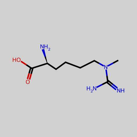 CN(CCCC[C@H](N)C(=O)O)C(=N)N